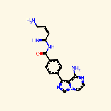 N=C(/C=C\CN)NC(=O)c1ccc(-c2ncn3ccnc(N)c23)cc1